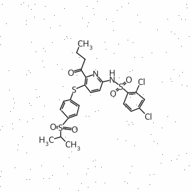 CCCC(=O)c1nc(NS(=O)(=O)c2ccc(Cl)cc2Cl)ccc1Sc1ccc(S(=O)(=O)C(C)C)cc1